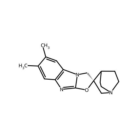 Cc1cc2nc3n(c2cc1C)C[C@]1(CN2CCC1CC2)O3